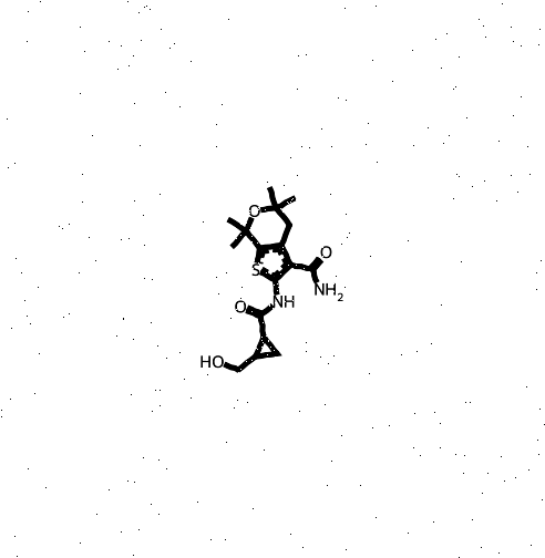 CC1(C)Cc2c(sc(NC(=O)C3CC3CO)c2C(N)=O)C(C)(C)O1